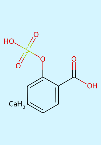 O=C(O)c1ccccc1OS(=O)(=O)O.[CaH2]